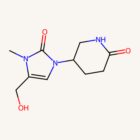 Cn1c(CO)cn(C2CCC(=O)NC2)c1=O